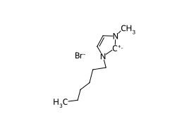 CCCCCCN1[C+]N(C)C=C1.[Br-]